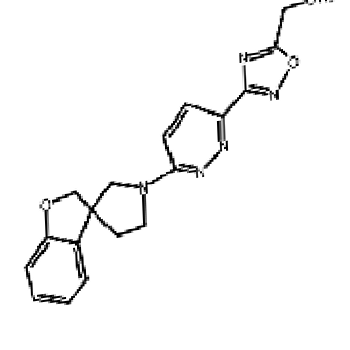 CC(=O)OCc1nc(-c2ccc(N3CCC4(COc5ccccc54)C3)nn2)no1